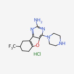 Cl.Nc1nc(N2CCNCC2)c2oc3c(c2n1)CC(C(F)(F)F)CC3